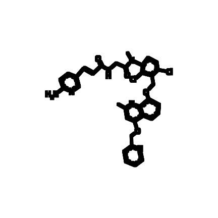 Cc1cc(OCc2ccccn2)c2cccc(OCc3c(Cl)ccc(N(C)C(=O)CNC(=O)C=Cc4ccc(N)nc4)c3Cl)c2n1